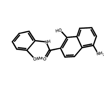 COc1ccccc1NC(=O)c1ccc2c(N)cccc2c1O